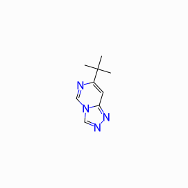 CC(C)(C)c1cc2nncn2cn1